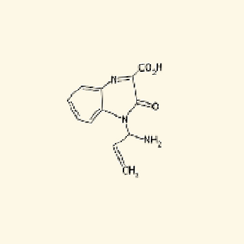 C=CC(N)n1c(=O)c(C(=O)O)nc2ccccc21